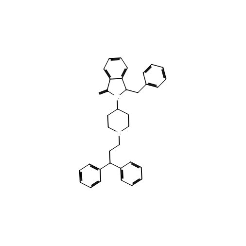 O=C1c2ccccc2C(Cc2ccccc2)N1C1CCN(CCC(c2ccccc2)c2ccccc2)CC1